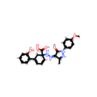 COc1ccc(N2N=C(C)/C(=N/NC3(C(=O)O)C=CC=C(c4ccccc4O)C3)C2=O)cc1